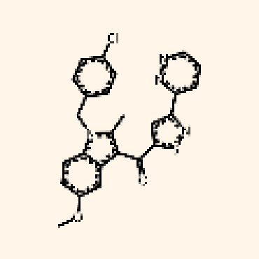 COc1ccc2c(c1)c(C(=O)c1cc(-c3cccnn3)ns1)c(C)n2Cc1ccc(Cl)cc1